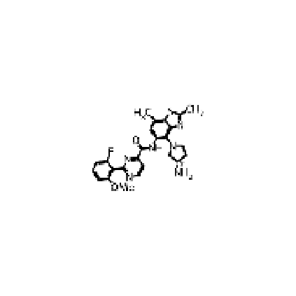 COc1cccc(F)c1-c1nccc(C(=O)Nc2cc(C)c3sc(C)nc3c2N2CC[C@H](N)C2)n1